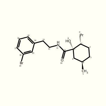 CC(C)[C@@H]1CC[C@@H](C)C[C@@]1(O)C(=O)NCCc1cccc(Br)c1